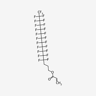 C=CC(=O)OCCCC(F)(F)C(F)(F)C(F)(F)C(F)(F)C(F)(F)C(F)(F)C(F)(F)C(F)(F)C(F)(F)C(F)(F)C(F)(F)C(F)(F)F